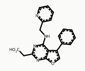 O=C(O)Cc1nc(NCc2ccccn2)c2c(-c3ccccc3)coc2n1